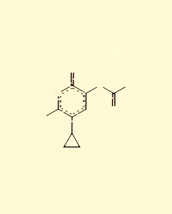 CCC(=O)Oc1cc(C2CC2)c(CC)[nH]c1=O